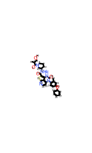 COCC(C)C(=O)N1CCC[C@@H](NC(=O)c2sc3nccc4c3c2NC(=O)N4c2ccc(Oc3ccccc3)cc2C)C1